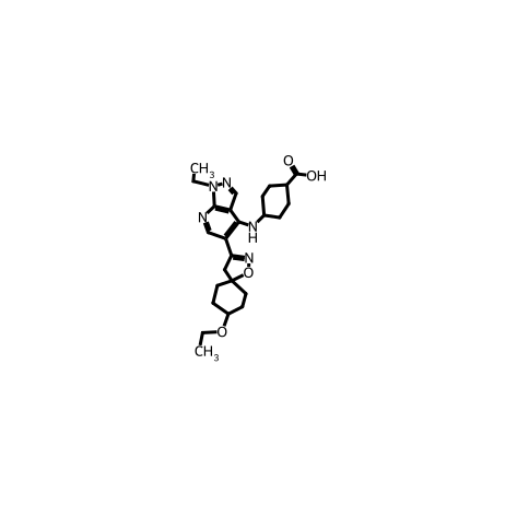 CCOC1CCC2(CC1)CC(c1cnc3c(cnn3CC)c1NC1CCC(C(=O)O)CC1)=NO2